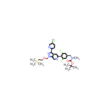 CN(Cc1cc(F)c(-c2cc3c(-c4ccc(Cl)cn4)nn(COCCS(C)(C)C)c3cn2)c(F)c1)C(=O)OC(C)(C)C